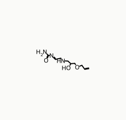 C=CCOCC(O)CNCC=NC(N)=O